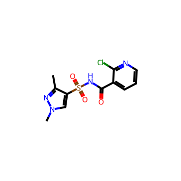 Cc1nn(C)cc1S(=O)(=O)NC(=O)c1cccnc1Cl